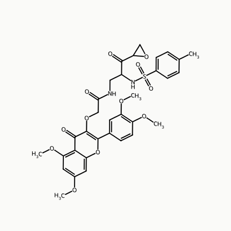 COc1cc(OC)c2c(=O)c(OCC(=O)NCC(NS(=O)(=O)c3ccc(C)cc3)C(=O)C3CO3)c(-c3ccc(OC)c(OC)c3)oc2c1